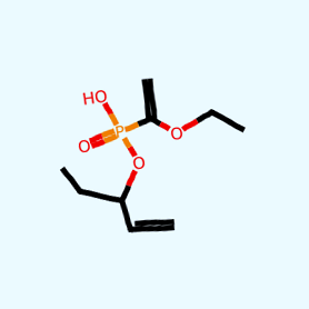 C=CC(CC)OP(=O)(O)C(=C)OCC